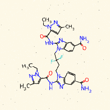 CCn1nc(C)cc1C(=O)Nc1nc2cc(C(N)=O)ccc2n1CCC(F)(F)Cn1c(NC(=O)c2cc(C)nn2CC)nc2cc(C(N)=O)ccc21